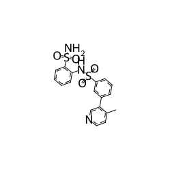 Cc1ccncc1-c1cccc(S(=O)(=O)Nc2ccccc2S(N)(=O)=O)c1